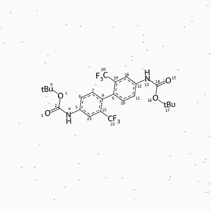 CC(C)(C)OC(=O)Nc1ccc(-c2ccc(NC(=O)OC(C)(C)C)cc2C(F)(F)F)c(C(F)(F)F)c1